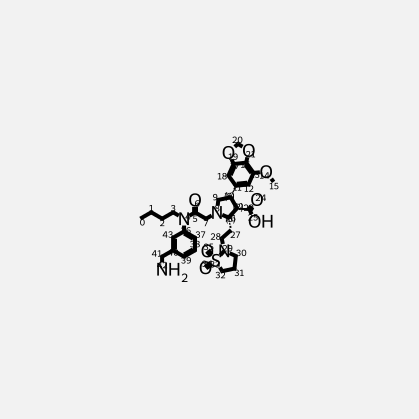 CCCCN(C(=O)CN1C[C@H](c2cc(OC)c3c(c2)OCO3)[C@@H](C(=O)O)[C@@H]1CCN1CCCS1(=O)=O)c1cccc(CN)c1